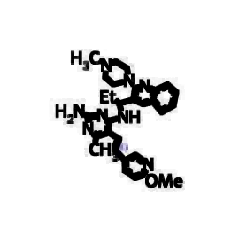 CCC(Nc1nc(N)nc(C)c1/C=C/c1ccc(OC)nc1)c1cc2ccccc2nc1N1CCN(C)CC1